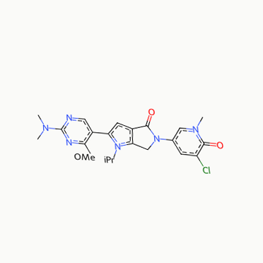 COc1nc(N(C)C)ncc1-c1cc2c(n1C(C)C)CN(c1cc(Cl)c(=O)n(C)c1)C2=O